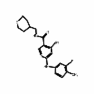 Cc1ccc(Nc2cc(C(C)C)c(C(=O)NCC3CCOCC3)cn2)cc1F